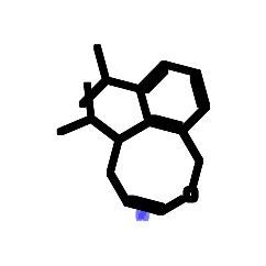 CC(C)c1cccc2c1C(C(C)C)C/C=C\OC2